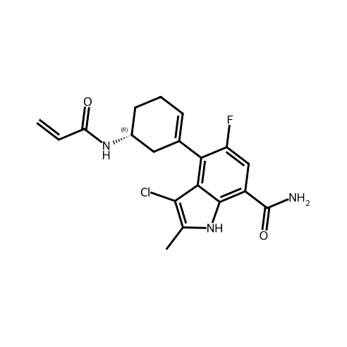 C=CC(=O)N[C@@H]1CCC=C(c2c(F)cc(C(N)=O)c3[nH]c(C)c(Cl)c23)C1